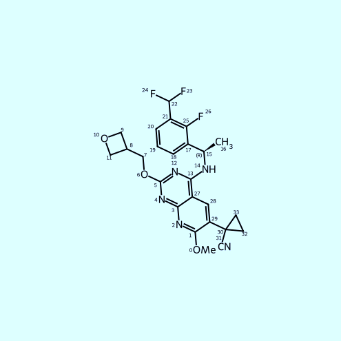 COc1nc2nc(OCC3COC3)nc(N[C@H](C)c3cccc(C(F)F)c3F)c2cc1C1(C#N)CC1